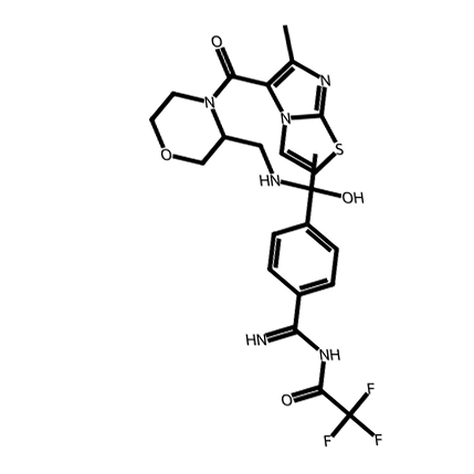 Cc1nc2sccn2c1C(=O)N1CCOCC1CNC(C)(O)c1ccc(C(=N)NC(=O)C(F)(F)F)cc1